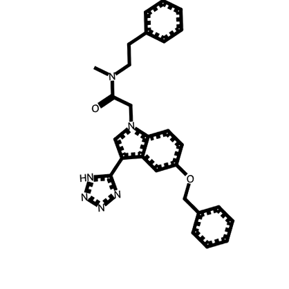 CN(CCc1ccccc1)C(=O)Cn1cc(-c2nnn[nH]2)c2cc(OCc3ccccc3)ccc21